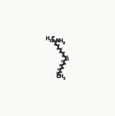 C=CC(N)CCCCCCC/C=C\CCCCCCCC